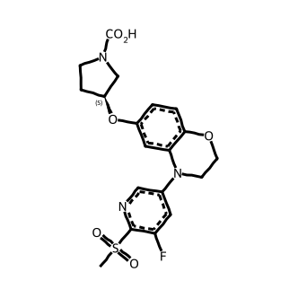 CS(=O)(=O)c1ncc(N2CCOc3ccc(O[C@H]4CCN(C(=O)O)C4)cc32)cc1F